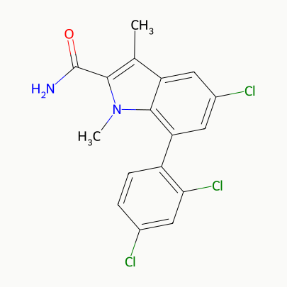 Cc1c(C(N)=O)n(C)c2c(-c3ccc(Cl)cc3Cl)cc(Cl)cc12